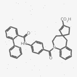 O=C(O)C1=CC2(CC1)CCN(C(=O)c1ccc(NC(=O)c3ccccc3-c3ccccc3)cc1)c1ccccc1C2